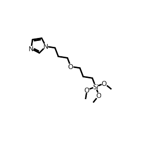 CO[Si](CCCOCCCn1ccnc1)(OC)OC